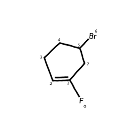 FC1=CCCC(Br)C1